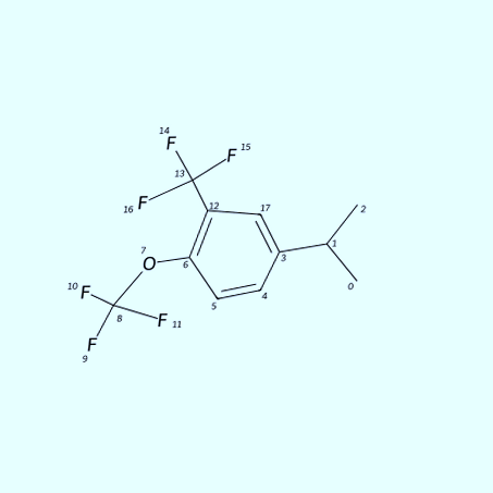 CC(C)c1ccc(OC(F)(F)F)c(C(F)(F)F)c1